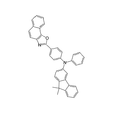 CC1(C)c2ccccc2-c2cc(N(c3ccccc3)c3ccc(-c4nc5ccc6ccccc6c5o4)cc3)ccc21